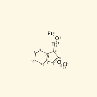 CC[O][Ti+2][CH]1C=CC2=C1CCCC2.[Cl-].[Cl-]